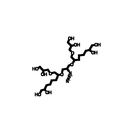 [N-]=[N+]=NC(COC(CCCCC(O)CO)COCC(O)CO)COC(CCCCC(O)CO)COCC(O)CO